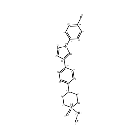 CCN[SH]1(=O)CCN(c2ccc(-c3cnn(-c4ccc(F)cc4)c3)cc2)CC1